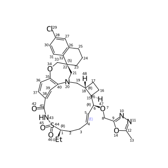 CC[C@@H]1CC/C=C/[C@H](OCc2nnc(C)o2)[C@@H]2CC[C@H]2CN2C[C@@]3(CCCc4cc(Cl)ccc43)COc3ccc(cc32)C(=O)NS1(=O)=O